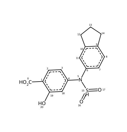 O=C(O)c1ccc(N(c2ccc3c(c2)CCC3)[SH](=O)=O)cc1O